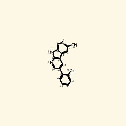 N#Cc1cc2c(cn1)[nH]c1ncc(-c3ccccc3O)cc12